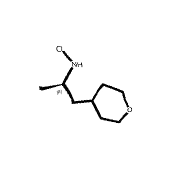 C[C@H](CC1CCOCC1)NCl